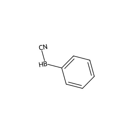 N#CBc1ccccc1